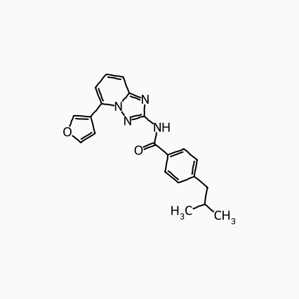 CC(C)Cc1ccc(C(=O)Nc2nc3cccc(-c4ccoc4)n3n2)cc1